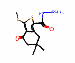 CSc1sc(C(=O)NN)c2c1C(=O)CC(C)(C)C2